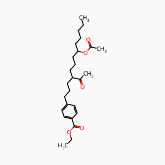 CCCCCC(CCCC(CCCc1ccc(C(=O)OCC)cc1)C(C)=O)OC(C)=O